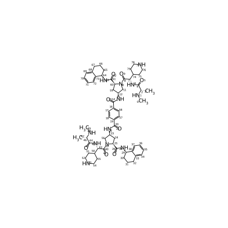 CN[C@@H](C)C(=O)N[C@H](C(=O)N1C[C@@H](NC(=O)c2ccc(C(=O)N[C@H]3C[C@@H](C(=O)N[C@@H]4CCCc5ccccc54)N(C(=O)[C@@H](NC(=O)[C@H](C)NC)C4CCNCC4)C3)cc2)C[C@H]1C(=O)N[C@@H]1CCCc2ccccc21)C1CCNCC1